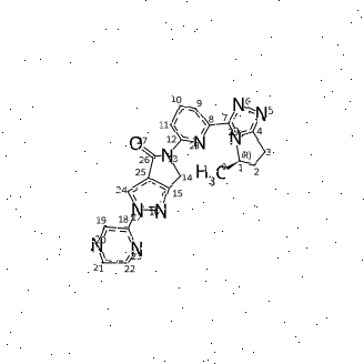 C[C@@H]1CCc2nnc(-c3cccc(N4Cc5nn(-c6cnccn6)cc5C4=O)n3)n21